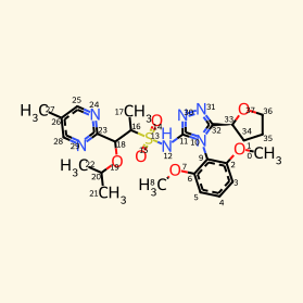 COc1cccc(OC)c1-n1c(NS(=O)(=O)C(C)C(OC(C)C)c2ncc(C)cn2)nnc1[C@@H]1CCCO1